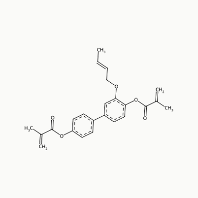 C=C(C)C(=O)Oc1ccc(-c2ccc(OC(=O)C(=C)C)c(OC/C=C/C)c2)cc1